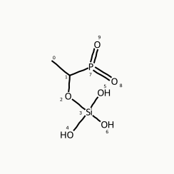 CC(O[Si](O)(O)O)P(=O)=O